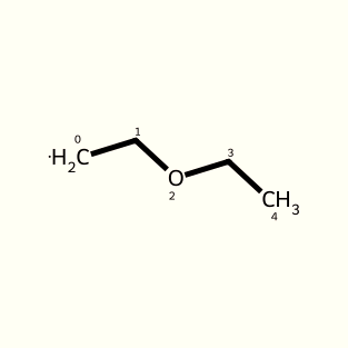 [CH2]COCC